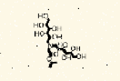 CC(C)OCCN(C[C@@H](O)[C@@H](O)[C@H](O)[C@H](O)CO)C[C@@H](O)[C@@H](O)[C@H](O)[C@H](O)CO